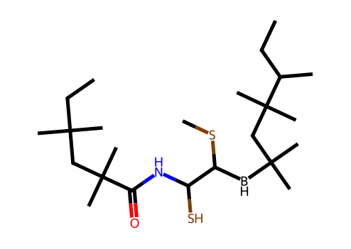 CCC(C)C(C)(C)CC(C)(C)BC(SC)C(S)NC(=O)C(C)(C)CC(C)(C)CC